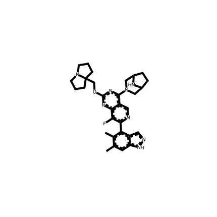 Cc1cc2[nH]ncc2c(-c2ncc3c(N4CC5CCC(C4)N5)nc(OCC45CCCN4CCC5)nc3c2F)c1C